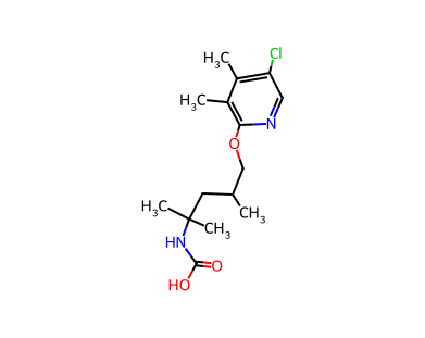 Cc1c(Cl)cnc(OCC(C)CC(C)(C)NC(=O)O)c1C